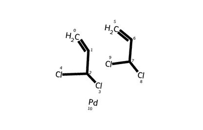 C=CC(Cl)Cl.C=CC(Cl)Cl.[Pd]